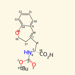 CC(C)(C)OC(=O)N[C@H](CC1=Cc2ccccc2OCC1)C(=O)O